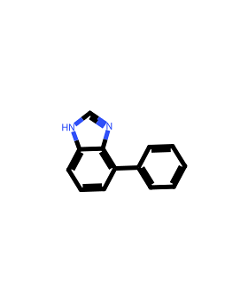 c1ccc(-c2cccc3[nH]cnc23)cc1